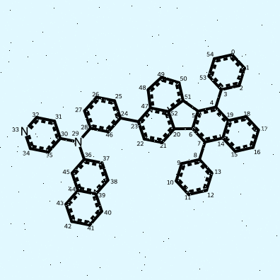 c1ccc(-c2c3c(c(-c4ccccc4)c4ccccc24)-c2ccc(-c4cccc(N(c5ccncc5)c5ccc6ccccc6c5)c4)c4cccc-3c24)cc1